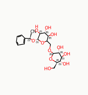 N#C[C@@H](O[C@H]1OC(CO[C@@H]2O[C@H](CO)[C@@H](O)[C@H](O)[C@H]2O)[C@H](O)[C@@H](O)[C@@H]1O)c1ccccc1